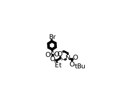 CC[C@@H](OS(=O)(=O)c1ccc(Br)cc1)[C@H]1CN(C(=O)OC(C)(C)C)CCO1